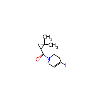 CC1(C)CC1C(=O)N1CC=C(I)CC1